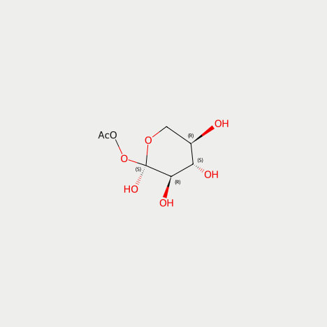 CC(=O)OO[C@@]1(O)OC[C@@H](O)[C@H](O)[C@H]1O